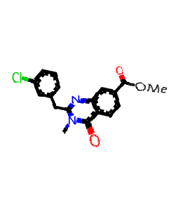 COC(=O)c1ccc2c(=O)n(C)c(Cc3cccc(Cl)c3)nc2c1